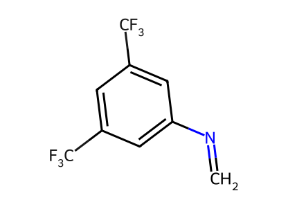 C=Nc1cc(C(F)(F)F)cc(C(F)(F)F)c1